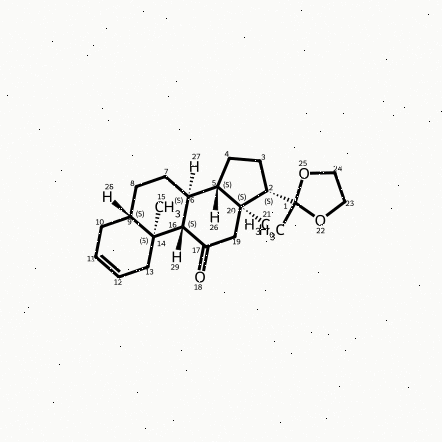 CC1([C@H]2CC[C@H]3[C@@H]4CC[C@H]5CC=CC[C@]5(C)[C@H]4C(=O)C[C@]23C)OCCO1